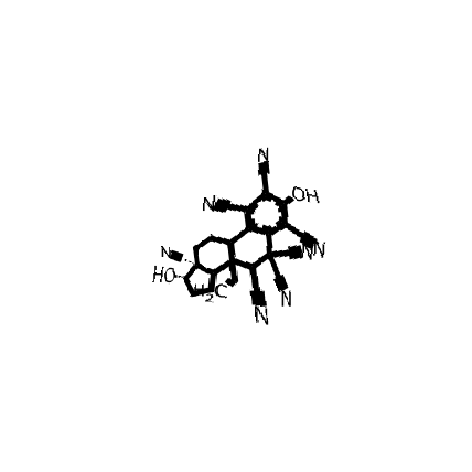 C=CC12C([CH]C[C@@]3(C#N)C1CC[C@@H]3O)c1c(C#N)c(C#N)c(O)c(C#N)c1C(C#N)(C#N)C2C#N